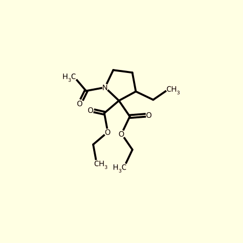 CCOC(=O)C1(C(=O)OCC)C(CC)CCN1C(C)=O